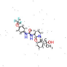 CC(C)(O)c1cccc(Oc2ncccc2NC(=O)Nc2ccc(OC(F)(F)F)cc2)c1